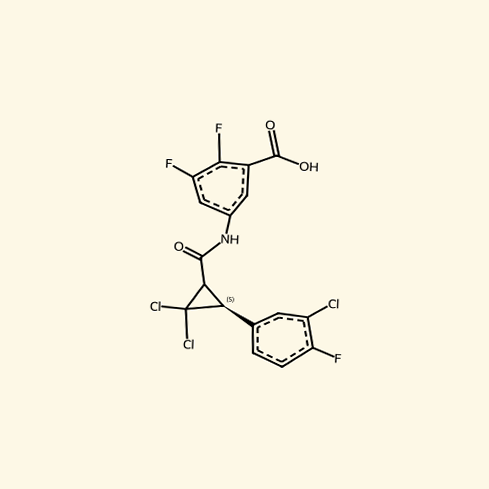 O=C(O)c1cc(NC(=O)C2[C@@H](c3ccc(F)c(Cl)c3)C2(Cl)Cl)cc(F)c1F